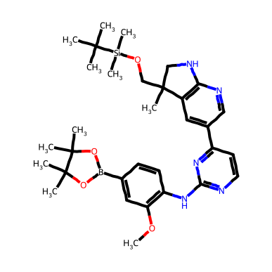 COc1cc(B2OC(C)(C)C(C)(C)O2)ccc1Nc1nccc(-c2cnc3c(c2)C(C)(CO[Si](C)(C)C(C)(C)C)CN3)n1